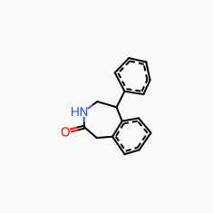 O=C1Cc2ccccc2C(c2ccccc2)CN1